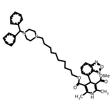 COC(=O)C1=C(C)NC(C)=C(C(=O)OCCCCCCCCCCN2CCN(C(c3ccccc3)c3ccccc3)CC2)C1c1cccc2nonc12